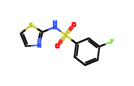 O=S(=O)(Nc1nccs1)c1cccc(F)c1